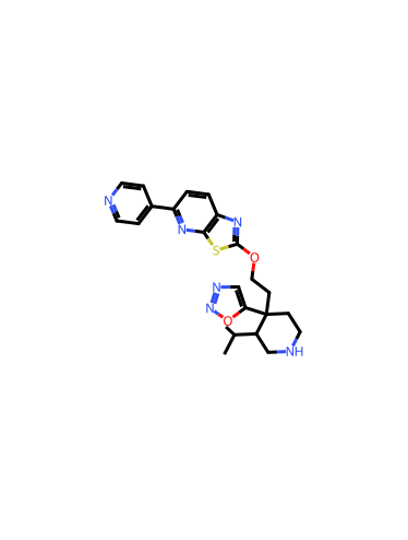 CC(C)C1CNCCC1(CCOc1nc2ccc(-c3ccncc3)nc2s1)c1cnno1